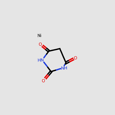 O=C1CC(=O)NC(=O)N1.[Ni]